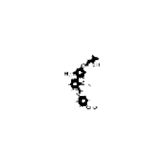 Cc1cc(OCCC2(O)CC2)ccc1-c1cccc(COc2ccc(C=O)cc2)c1C